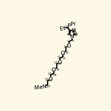 CCCC(CC)c1cn(CCOCCOCCOCCOCCOCCNC)nn1